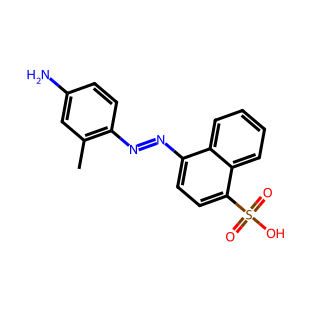 Cc1cc(N)ccc1/N=N/c1ccc(S(=O)(=O)O)c2ccccc12